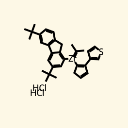 C[C](C)=[Zr]([C]1=C(c2ccsc2)C=CC1)[c]1cc(C(C)(C)C)cc2c1Cc1ccc(C(C)(C)C)cc1-2.Cl.Cl